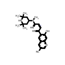 CN(C(=N)/C=C\C(=N)c1cc2cc(C#N)cnc2cc1O)C1CC(C)(C)NC(C)(C)C1